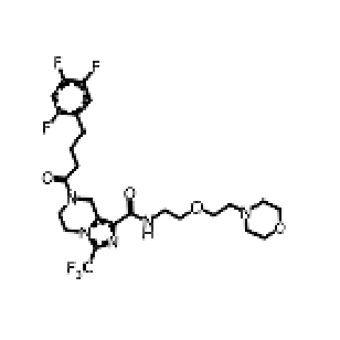 O=C(NCCOCCN1CCOCC1)c1nc(C(F)(F)F)n2c1CN(C(=O)CCCc1cc(F)c(F)cc1F)CC2